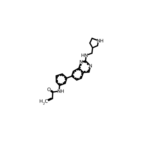 C=CC(=O)Nc1cccc(-c2ccc3cnc(NCC4CCNC4)nc3c2)c1